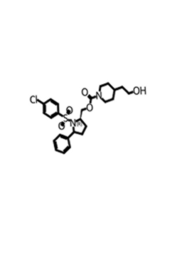 O=C(OC[C@H]1CCC(c2ccccc2)N1S(=O)(=O)c1ccc(Cl)cc1)N1CCC(CCO)CC1